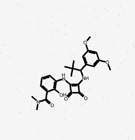 COc1cc(OC)cc(C(Nc2c(Nc3cccc(C(=O)N(C)C)c3O)c(=O)c2=O)C(C)(C)C)c1